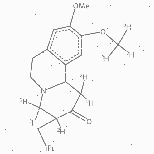 [2H]C([2H])([2H])Oc1cc2c(cc1OC)CCN1C2C([2H])([2H])C(=O)C([2H])(CC(C)C)C1([2H])[2H]